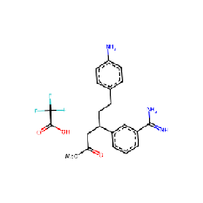 COC(=O)CC(CCc1ccc(N)cc1)c1cccc(C(=N)N)c1.O=C(O)C(F)(F)F